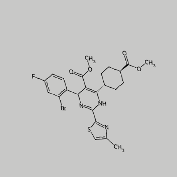 COC(=O)C1=C([C@H]2CC[C@H](C(=O)OC)CC2)NC(c2nc(C)cs2)=NC1c1ccc(F)cc1Br